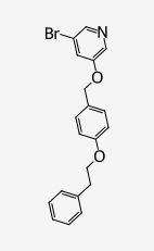 Brc1cncc(OCc2ccc(OCCc3ccccc3)cc2)c1